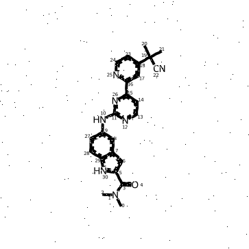 CN(C)C(=O)c1cc2cc(Nc3nccc(-c4cc(C(C)(C)C#N)ccn4)n3)ccc2[nH]1